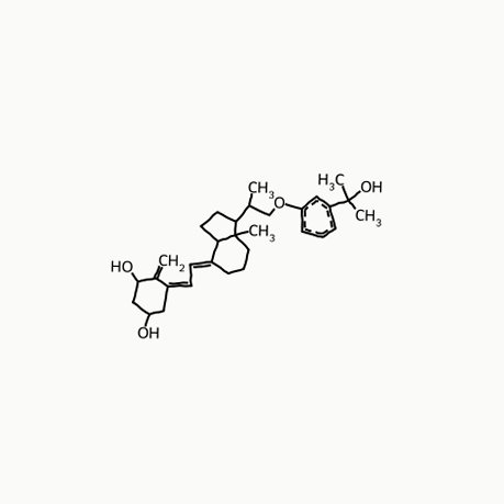 C=C1C(=CC=C2CCCC3(C)C2CCC3C(C)COc2cccc(C(C)(C)O)c2)CC(O)CC1O